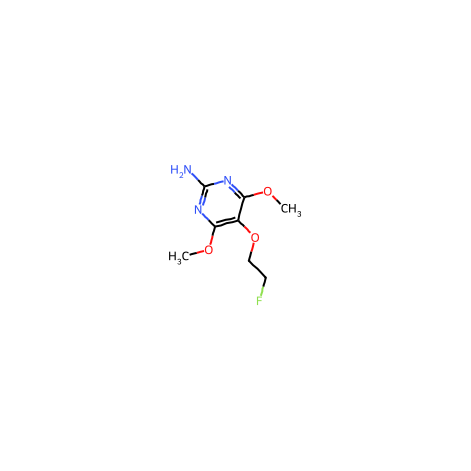 COc1nc(N)nc(OC)c1OCCF